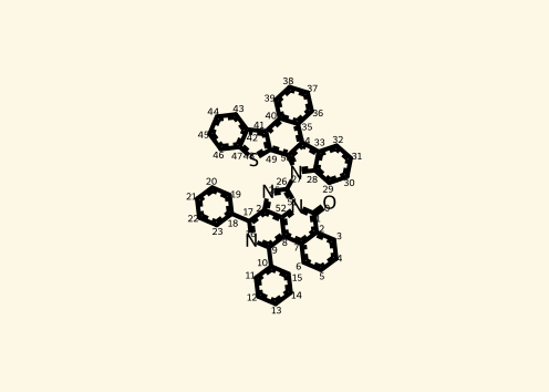 O=c1c2ccccc2c2c(-c3ccccc3)nc(-c3ccccc3)c3nc(-n4c5ccccc5c5c6ccccc6c6c7ccccc7sc6c54)n1c32